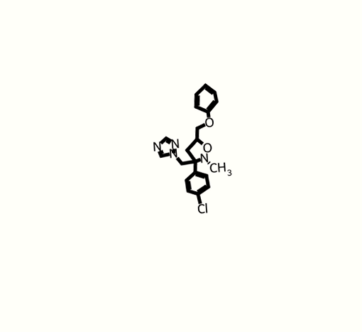 CN1OC(COc2ccccc2)CC1(Cn1cncn1)c1ccc(Cl)cc1